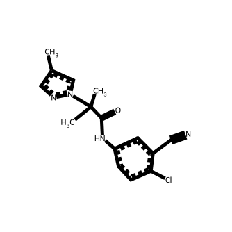 Cc1cnn(C(C)(C)C(=O)Nc2ccc(Cl)c(C#N)c2)c1